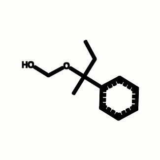 CCC(C)(OCO)c1ccccc1